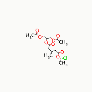 CC(=O)OCC(COC(C)=O)OC(=O)CC(C)CC(=O)OC(C)Cl